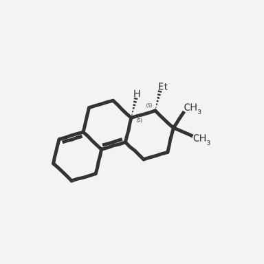 CC[C@H]1[C@@H]2CCC3=CCCCC3=C2CCC1(C)C